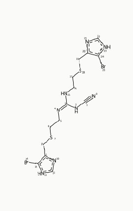 N#CN/C(=N\CCSCc1nc[nH]c1Br)NCCSCc1nc[nH]c1Br